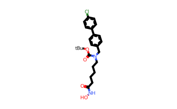 CC(C)(C)OC(=O)N(CCCCCC(=O)NO)Cc1ccc(-c2ccc(Cl)cc2)cc1